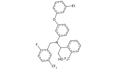 CCc1cccc(Oc2cccc(N(Cc3cc(C(F)(F)F)ccc3F)C(CO)c3ccccc3C(F)(F)F)c2)c1